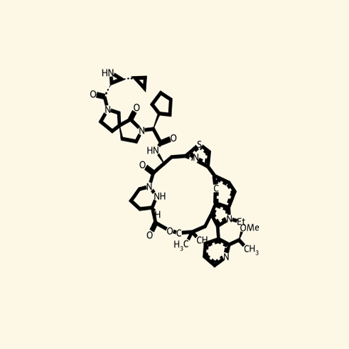 CCn1c(-c2cccnc2[C@H](C)OC)c2c3cc(ccc31)-c1csc(n1)C[C@H](NC(=O)[C@H](C1CCCC1)N1CC[C@]3(CCN(C(=O)[C@@H]4N[C@@H]4C4CC4)C3)C1=O)C(=O)N1CCC[C@H](N1)C(=O)OCC(C)(C)C2